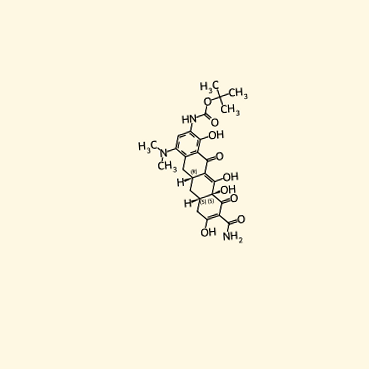 CN(C)c1cc(NC(=O)OC(C)(C)C)c(O)c2c1C[C@H]1C[C@H]3CC(O)=C(C(N)=O)C(=O)[C@@]3(O)C(O)=C1C2=O